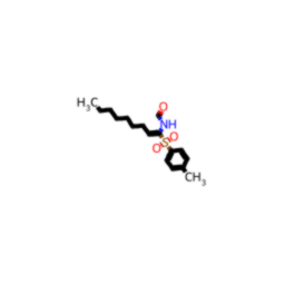 CCCCCCCC=C(NC=O)S(=O)(=O)c1ccc(C)cc1